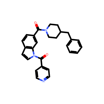 O=C(c1ccc2ccn(C(=O)c3ccncc3)c2c1)N1CCC(Cc2ccccc2)CC1